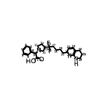 O=C(O)C(c1ccccc1)N1CC[C@@H](C(F)(F)CCCCc2ccc3c(n2)NCCC3)C1